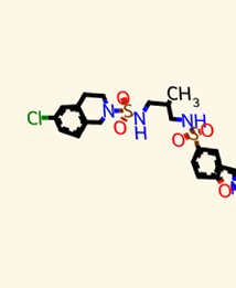 CC(CNS(=O)(=O)c1ccc2oncc2c1)CNS(=O)(=O)N1CCc2cc(Cl)ccc2C1